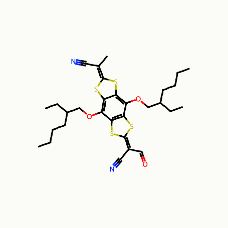 CCCCC(CC)COc1c2c(c(OCC(CC)CCCC)c3c1SC(=C(C#N)C=O)S3)SC(=C(C)C#N)S2